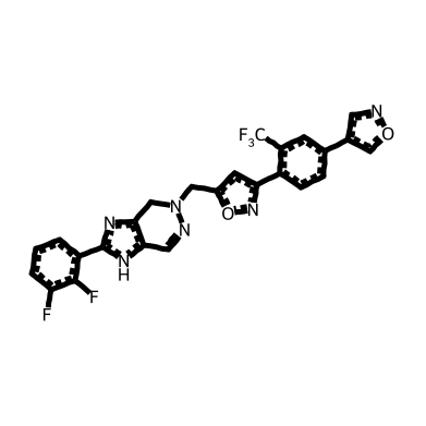 Fc1cccc(-c2nc3c([nH]2)C=NN(Cc2cc(-c4ccc(-c5cnoc5)cc4C(F)(F)F)no2)C3)c1F